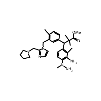 COC(=O)C(C)(C)C(c1ccc(C)c(Cn2ccnc2CN2CCCC2)c1)c1ccc(N(C)N)c(N)c1C